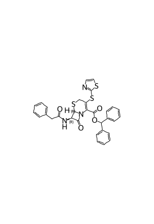 O=C(Cc1ccccc1)N[C@@H]1C(=O)N2C(C(=O)OC(c3ccccc3)c3ccccc3)=C(Sc3nccs3)CS[C@H]12